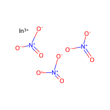 O=[N+]([O-])[O-].O=[N+]([O-])[O-].O=[N+]([O-])[O-].[In+3]